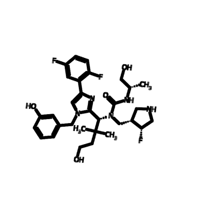 C[C@@H](CO)NC(=O)N(C[C@@H]1CNC[C@@H]1F)[C@@H](c1nc(-c2cc(F)ccc2F)cn1Cc1cccc(O)c1)C(C)(C)CCO